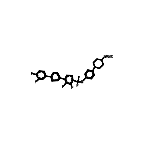 CCCCCC1CCC(c2ccc(OC(F)(F)c3ccc(-c4ccc(-c5ccc(F)c(F)c5)cc4)c(F)c3F)cc2)CC1